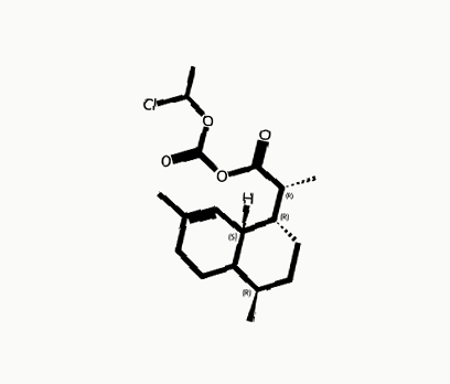 CC1=C[C@H]2C(CC1)[C@H](C)CC[C@H]2[C@@H](C)C(=O)OC(=O)OC(C)Cl